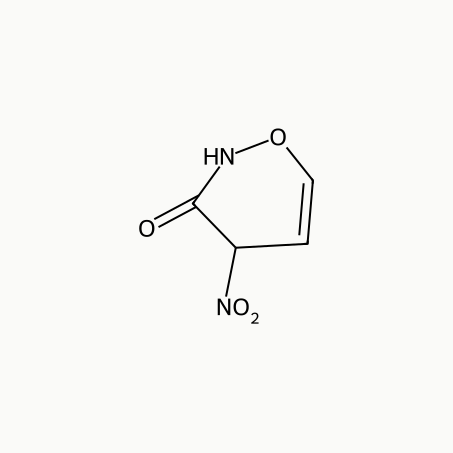 O=C1NOC=CC1[N+](=O)[O-]